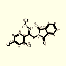 CCON=C(CN1C(=O)c2ccccc2C1=O)c1ncc(Cl)cc1Cl